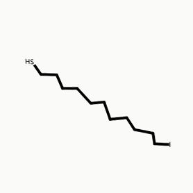 SCCCCCCCCCCCI